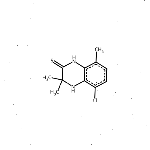 Cc1ccc(Cl)c2c1NC(=S)C(C)(C)N2